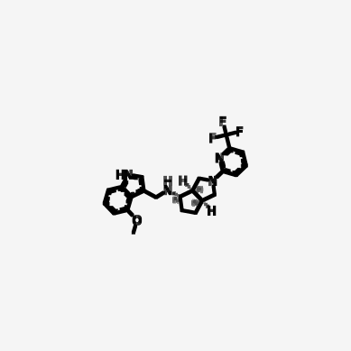 COc1cccc2[nH]cc(CN[C@H]3CC[C@@H]4CN(c5cccc(C(F)(F)F)n5)C[C@@H]43)c12